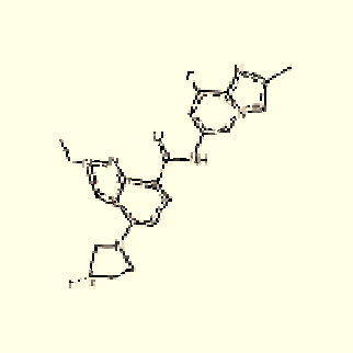 CCn1cc2c(N3CC[C@H](F)C3)ccc(C(=O)Nc3cc(F)c4nc(C)cn4c3)c2n1